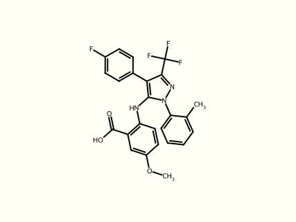 COc1ccc(Nc2c(-c3ccc(F)cc3)c(C(F)(F)F)nn2-c2ccccc2C)c(C(=O)O)c1